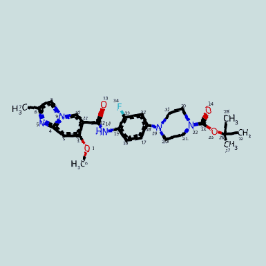 COc1cc2nc(C)cn2cc1C(=O)Nc1ccc(N2CCN(C(=O)OC(C)(C)C)CC2)cc1F